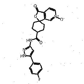 O=C1OC2(CCC(C(=O)Nc3cc(-c4ccc(F)cc4)[nH]n3)CC2)c2c[n+]([O-])ccc21